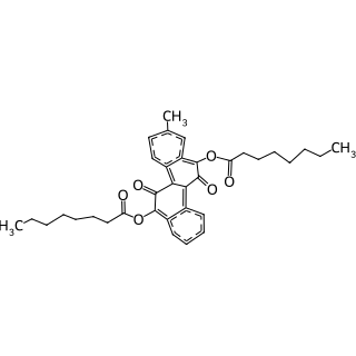 CCCCCCCC(=O)OC1=c2ccccc2=C2C(=O)C(OC(=O)CCCCCCC)=c3cc(C)ccc3=C2C1=O